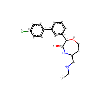 O=C1NC(CNCC(F)(F)F)CCOC1c1cccc(-c2ccc(Cl)cc2)c1